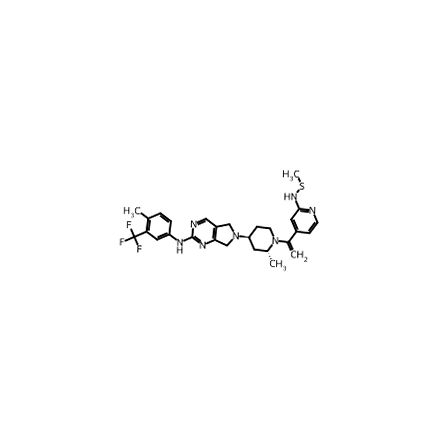 C=C(c1ccnc(NSC)c1)N1CC[C@H](N2Cc3cnc(Nc4ccc(C)c(C(F)(F)F)c4)nc3C2)C[C@H]1C